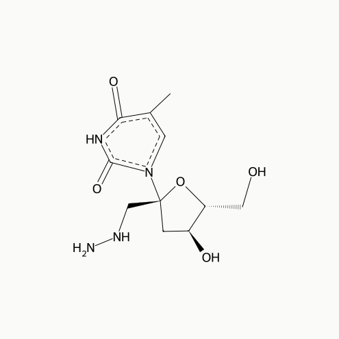 Cc1cn([C@@]2(CNN)C[C@H](O)[C@@H](CO)O2)c(=O)[nH]c1=O